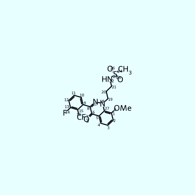 COc1cccc2c(=O)c(-c3cccc(F)c3C(F)(F)F)nn(CCCNS(C)(=O)=O)c12